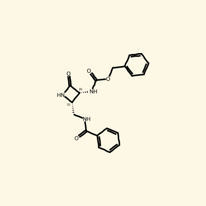 O=C(N[C@H]1C(=O)N[C@H]1CNC(=O)c1ccccc1)OCc1ccccc1